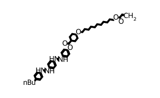 C=CC(=O)OCCCCCCCCCCCOC1CCC(C(=O)Oc2ccc(NNc3ccc(NNc4ccc(CCCC)cc4)cc3)cc2)CC1